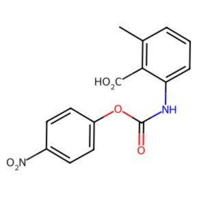 Cc1cccc(NC(=O)Oc2ccc([N+](=O)[O-])cc2)c1C(=O)O